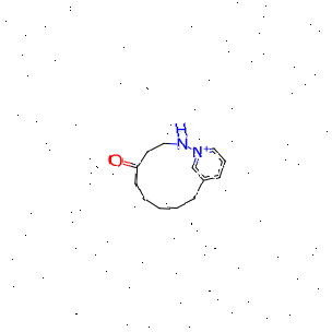 O=C1CCCCCc2ccc[n+](c2)NCC1